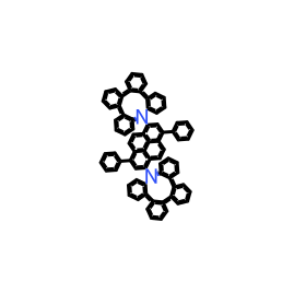 c1ccc(-c2cc(-n3c4ccccc4c4ccccc4c4ccccc4c4ccccc43)c3ccc4c(-c5ccccc5)cc(-n5c6ccccc6c6ccccc6c6ccccc6c6ccccc65)c5ccc2c3c45)cc1